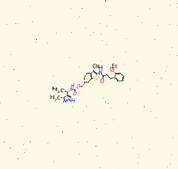 CCOc1ccccc1CCC(=O)Nc1sc2c(c1C#N)CCC(COC(=O)NC(C)c1c[nH]nc1C)C2